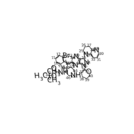 CC(C)(C)OC(=O)N[C@@H]1c2ccccc2[C@@H](c2nc3c(nc2Br)c(N2CCCc4ncccc42)nn3C2CCCCO2)C12CCNCC2